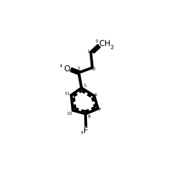 C=C[CH]C(=O)c1ccc(F)cc1